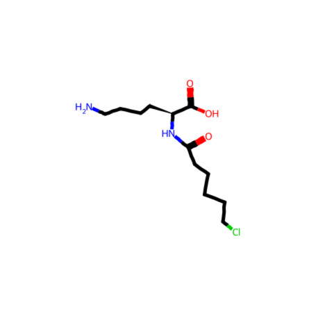 NCCCC[C@H](NC(=O)CCCCCCl)C(=O)O